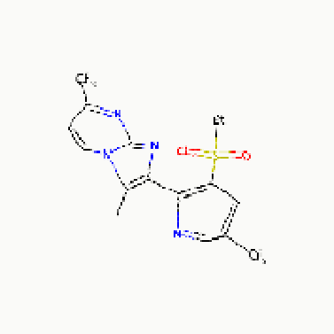 CCS(=O)(=O)c1cc(C(F)(F)F)cnc1-c1nc2nc(C(F)(F)F)ccn2c1C